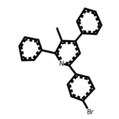 Cc1c(-c2ccccc2)cc(-c2ccc(Br)cc2)nc1-c1ccccc1